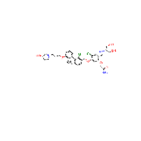 Cc1c(OCCCN2CCC(O)C2)cccc1-c1cccc(COc2cc(OCC(N)=O)c(CNC(CO)CO)cc2Cl)c1Cl